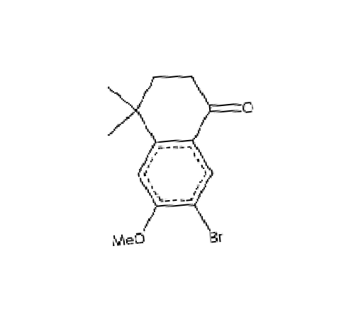 COc1cc2c(cc1Br)C(=O)CCC2(C)C